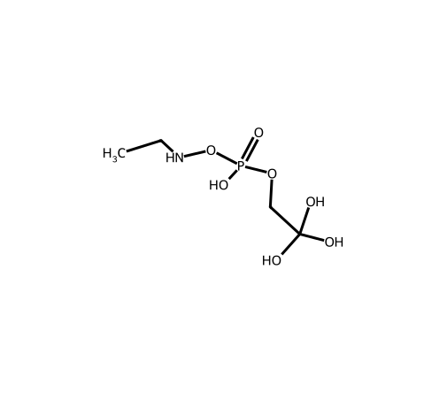 CCNOP(=O)(O)OCC(O)(O)O